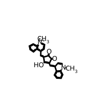 CN1C=CC(=CC2=C(O)C(=Cc3cc[n+](C)c4ccccc34)C(=O)C2=O)c2ccccc21